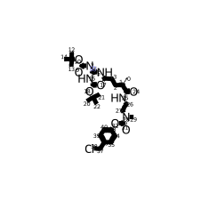 C[C@@H](CCCN/C(=N/C(=O)OC(C)(C)C)NC(=O)OC(C)(C)C)C(=O)NCCN(C)C(=O)Oc1ccc(CCl)cc1